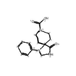 O=C(O)N1CCC2(CC1)C(=O)NCN2c1ccccc1